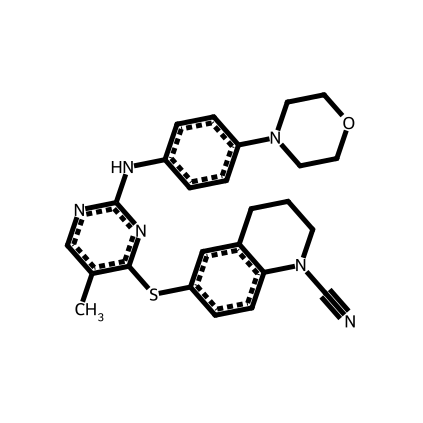 Cc1cnc(Nc2ccc(N3CCOCC3)cc2)nc1Sc1ccc2c(c1)CCCN2C#N